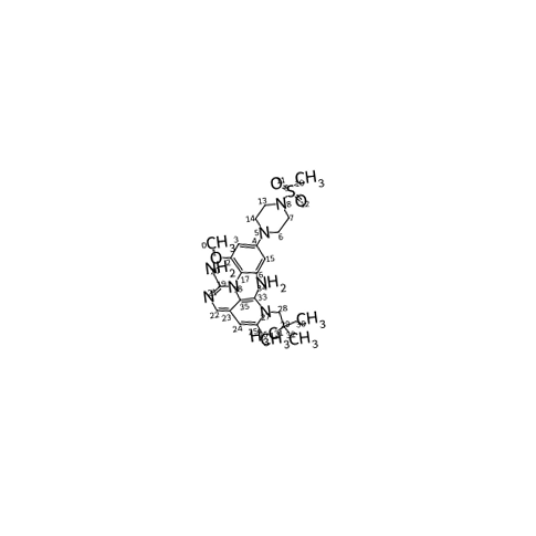 COc1cc(N2CCN(S(C)(=O)=O)CC2)ccc1N1C(N)=NC=C2C=C(C)N(CC(C)(C)C)C(N)=C21